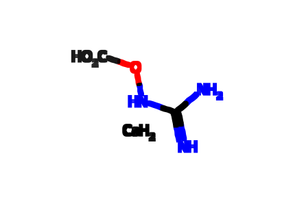 N=C(N)NOC(=O)O.[CaH2]